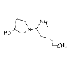 CCCCC(N)N1CCC(O)C1